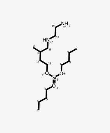 CCCCO[SiH](OCCCC)OCCC(C)CNCCN